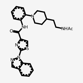 CC(=O)NCCC1CCN(c2ccccc2NC(=O)c2csc(-n3ncc4ccccc43)n2)CC1